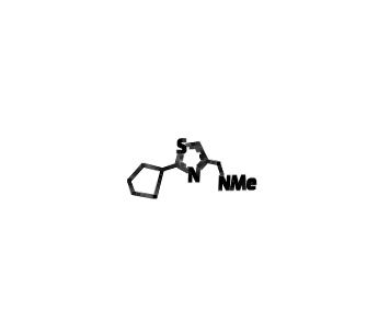 CNCc1csc(C2CCCC2)n1